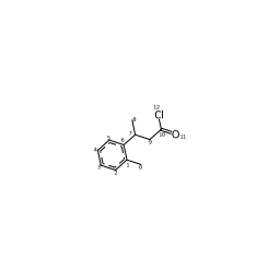 Cc1ccccc1C(C)CC(=O)Cl